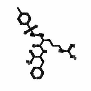 Cc1ccc(S(=O)(=O)NN[C@@H](CCCNC(=N)N)C(=O)N[C@@H](Cc2ccccc2)C(N)=O)cc1